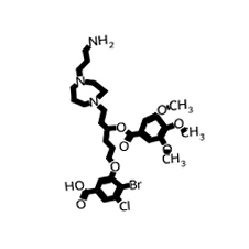 COc1cc(C(=O)OC(CCCOc2cc(C(=O)O)cc(Cl)c2Br)CCN2CCCN(CCCN)CC2)cc(OC)c1OC